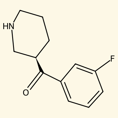 O=C(c1cccc(F)c1)[C@@H]1CCCNC1